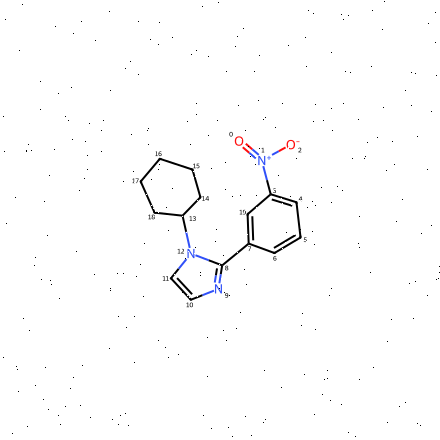 O=[N+]([O-])c1cccc(-c2nccn2C2CCCCC2)c1